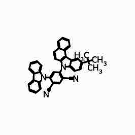 CC(C)(C)c1ccc2c(c1)c1c3ccccc3ccc1n2-c1cc(-n2c3ccccc3c3ccccc32)c(C#N)cc1C#N